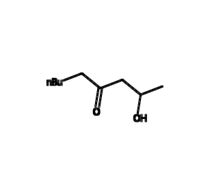 CCCCCC(=O)CC(C)O